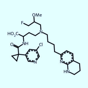 COC(CF)CN(CCCCc1ccc2c(n1)NCCC2)CCC(NC(=O)C1(c2cncc(Cl)c2)CC1)C(=O)O